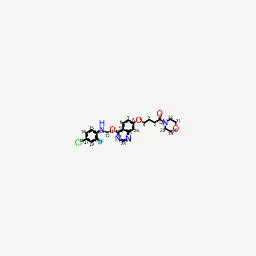 O=C(CCCOc1ccc2c(OCNc3ccc(Cl)cc3F)ncnc2c1)N1CCOCC1